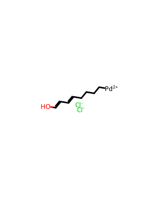 OC=CC=CCCC[CH2][Pd+2].[Cl-].[Cl-]